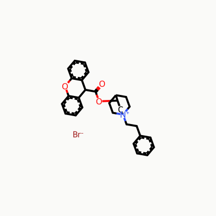 O=C(OC1C[N+]2(CCc3ccccc3)CCC1CC2)C1c2ccccc2Oc2ccccc21.[Br-]